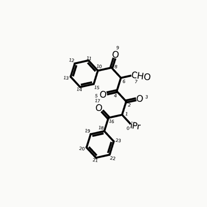 CC(C)C(C(=O)C(=O)C(C=O)C(=O)c1ccccc1)C(=O)c1ccccc1